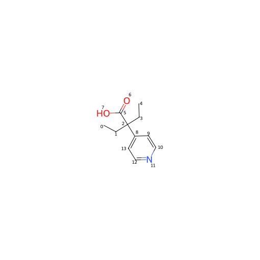 CCC(CC)(C(=O)O)c1ccncc1